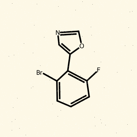 Fc1cccc(Br)c1-c1cnco1